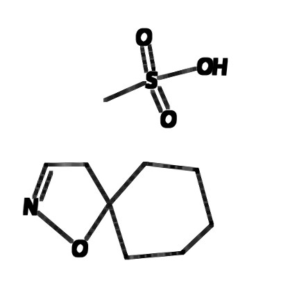 C1=NOC2(C1)CCCCC2.CS(=O)(=O)O